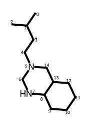 CC(C)CCN1CNC2CCCCC2C1